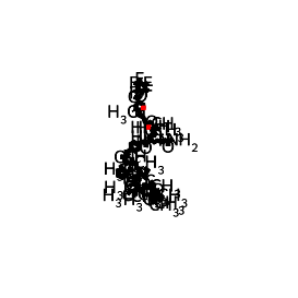 CC[C@H](C)[C@@H]([C@@H](CC(=O)N1CCC[C@H]1[C@H](OC)[C@@H](C)C(=O)N[C@@H](Cc1ccccc1)C(=O)NCc1ccc(NC(=O)[C@H](CCCNC(N)=O)NC(=O)[C@@H](NC(=O)CCCN2CC[C@H](C(=O)Oc3c(F)c(F)c(F)c(F)c3F)C[C@@H]2C)C(C)C)cc1)OC)N(C)C(=O)[C@@H](NC(=O)[C@H](C(C)C)N(C)C)C(C)C